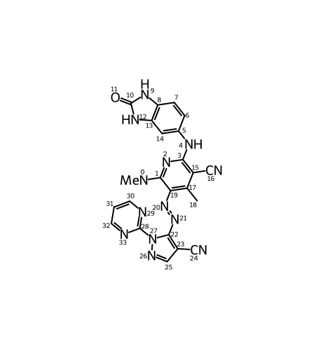 CNc1nc(Nc2ccc3[nH]c(=O)[nH]c3c2)c(C#N)c(C)c1/N=N/c1c(C#N)cnn1-c1ncccn1